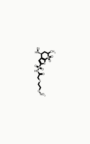 CCN[C@H]1CC(C)S(=O)(=O)c2sc(S(=O)(=O)NC(=O)CSCCO[N+](=O)[O-])cc21